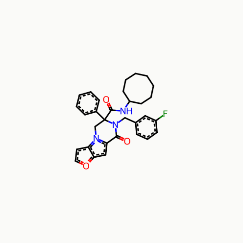 O=C1c2cc3occc3n2CC(C(=O)NC2CCCCCCC2)(c2ccccc2)N1Cc1cccc(F)c1